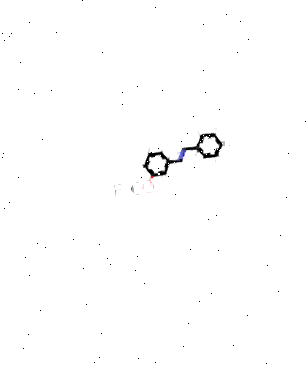 FC(F)(F)Oc1cccc(/C=C/c2ccccc2)c1